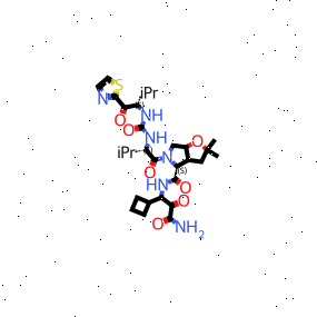 CC(C)[C@H](NC(=O)N[C@H](C(=O)N1CC2OC(C)(C)CC2[C@H]1C(=O)NC(C(=O)C(N)=O)C1CCC1)C(C)C)C(=O)c1nccs1